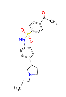 CCCN1CC[C@@H](c2ccc(NS(=O)(=O)c3ccc(C(C)=O)cc3)cc2)C1